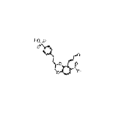 O=CC=Cc1c([N+](=O)[O-])ccc2c1OC(CCc1ccc(S(=O)(=O)O)cc1)CO2